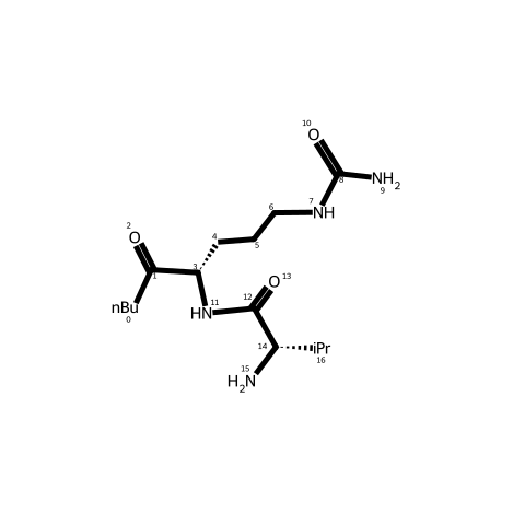 CCCCC(=O)[C@H](CCCNC(N)=O)NC(=O)[C@@H](N)C(C)C